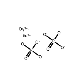 O=P([O-])([O-])[O-].O=P([O-])([O-])[O-].[Dy+3].[Eu+3]